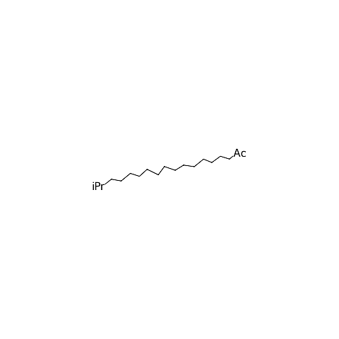 [CH2]C(=O)CCCCCCCCCCCCCCC(C)C